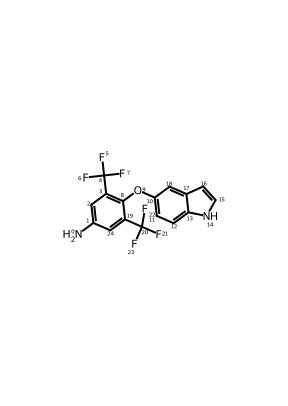 Nc1cc(C(F)(F)F)c(Oc2ccc3[nH]ccc3c2)c(C(F)(F)F)c1